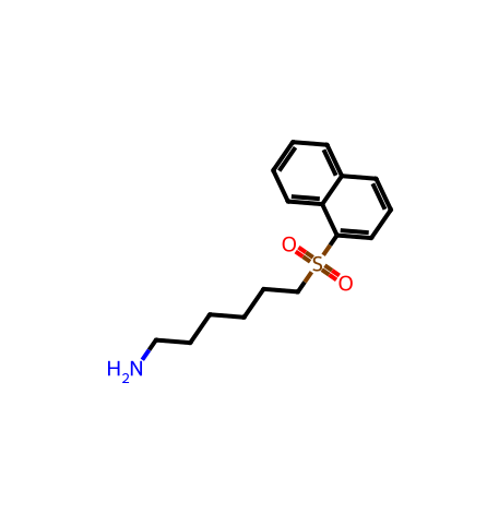 NCCCCCCS(=O)(=O)c1cccc2ccccc12